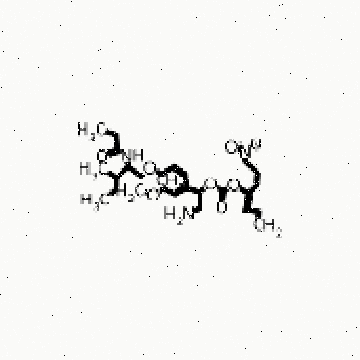 C=C/C=C(\C=C/C[N+](=O)[O-])OC(=O)OC(CN)C(/C=C\COCC(NC(=O)CC)C(C)CC)=C/C(C)OC